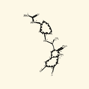 COC(=O)Nc1ccnc(N[C@@H](C)c2cc3cc(Cl)c(F)cc3[nH]c2=O)c1